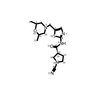 CC1CN(Cc2cnc(NC(=O)[C@H]3CCN(C#N)C3)s2)CC(C)O1